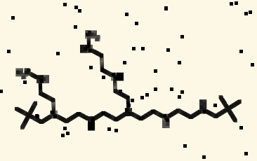 CC(C)(C)CNCCNCCN(CCNCCNP)CCNCCN(CCNP)CC(C)(C)C